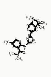 CN(C)C(=O)c1cc(C(F)(F)F)cnc1Nc1nc(-c2cc3c(cn2)N(C)CC3(C)C)ns1